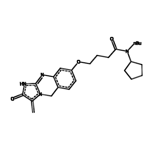 C=c1c(=O)[nH]c2n1Cc1ccc(OCCCC(=O)N(CCCC)C3CCCC3)cc1N=2